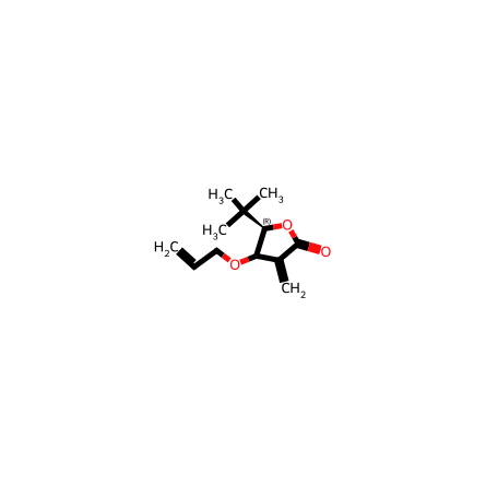 C=CCOC1C(=C)C(=O)O[C@@H]1C(C)(C)C